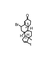 C[C@]12CCC(=O)C=C1C(Br)C[C@@H]1[C@@H]2CC[C@]2(C)C(I)=CC[C@@H]12